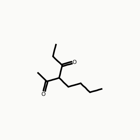 CCCCC(C(C)=O)C(=O)CC